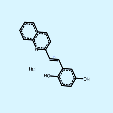 Cl.Oc1ccc(O)c(/C=C/c2ccc3ccccc3n2)c1